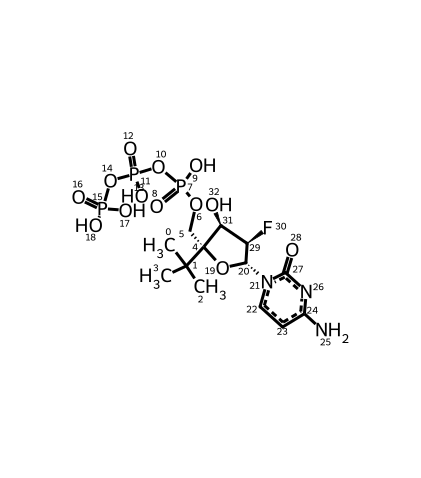 CC(C)(C)[C@]1(COP(=O)(O)OP(=O)(O)OP(=O)(O)O)O[C@@H](n2ccc(N)nc2=O)[C@H](F)[C@@H]1O